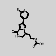 O=C(O)NCCC1CNC(=O)c2cc(-c3ccnc(F)c3)cn21